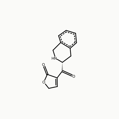 O=C1OCC=C1C(=O)[C@H]1Cc2ccccc2CN1